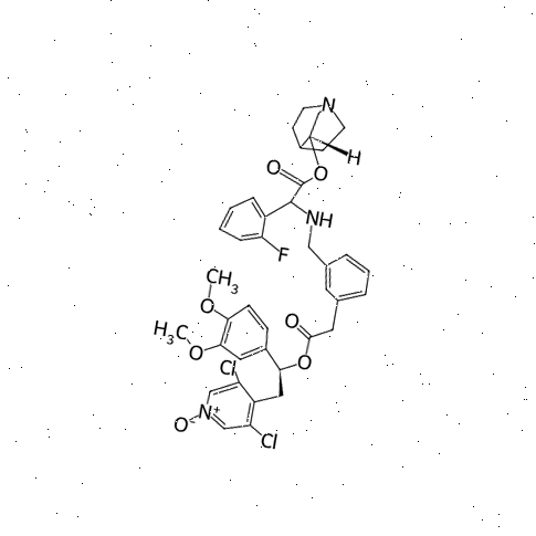 COc1ccc([C@H](Cc2c(Cl)c[n+]([O-])cc2Cl)OC(=O)Cc2cccc(CNC(C(=O)O[C@H]3CN4CCC3CC4)c3ccccc3F)c2)cc1OC